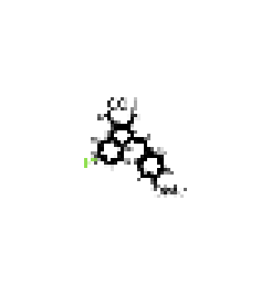 COc1ccc(/C=C2/C(C)=C(CC(=O)O)c3cc(F)ccc32)cc1